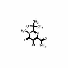 Cn1c(C(C)(C)N)nc(C(N)=O)c(O)c1=O